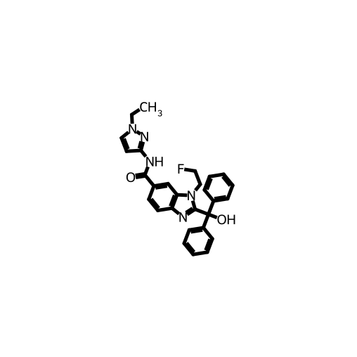 CCn1ccc(NC(=O)c2ccc3nc(C(O)(c4ccccc4)c4ccccc4)n(CCF)c3c2)n1